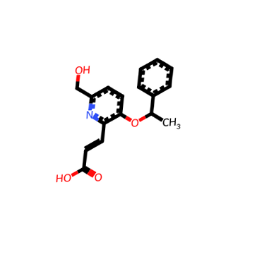 CC(Oc1ccc(CO)nc1C=CC(=O)O)c1ccccc1